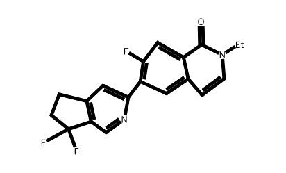 CCn1ccc2cc(-c3cc4c(cn3)C(F)(F)CC4)c(F)cc2c1=O